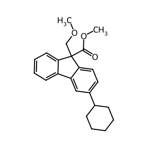 COCC1(C(=O)OC)c2ccccc2-c2cc(C3CCCCC3)ccc21